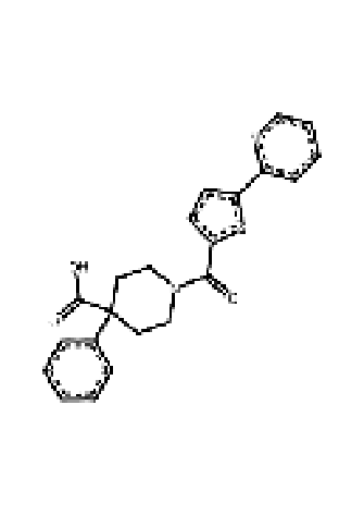 O=C(c1ccc(-c2ccccn2)s1)N1CCC(C(=O)O)(c2ccccc2)CC1